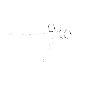 CCCCCCCCCCc1cccc(-c2ccc3ccccc3c2N)c1CCCCCCCCCC